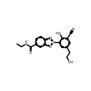 CCNC(=O)c1ccc2nn(-c3cc(CCO)cc(C#N)c3O)nc2c1